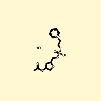 CC(=O)SC1COC(COP(=O)(O)OCC[n+]2ccccc2)C1.[OH-]